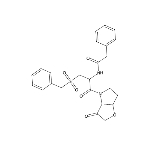 O=C(Cc1ccccc1)NC(CS(=O)(=O)Cc1ccccc1)C(=O)N1CCC2OCC(=O)C21